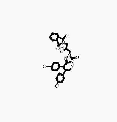 O=C1c2ccccc2C(=O)N1CC(O)Cn1nc2c(-c3ccc(Cl)cc3)c(-c3ccc(Cl)cc3)cnn2c1=O